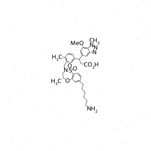 COc1cc(C(CC(=O)O)c2ccc(C)c(CN3C[C@@H](C)Oc4cc(CCCCCCN)ccc4S3(=O)=O)c2)cc2nnn(C)c12